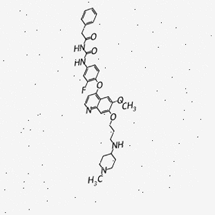 COc1cc2c(Oc3ccc(NC(=O)NC(=O)Cc4ccccc4)cc3F)ccnc2cc1OCCCNC1CCN(C)CC1